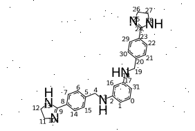 c1cc(NCc2ccc(C3=NCCN3)cc2)cc(NCc2ccc(C3=NCCN3)cc2)c1